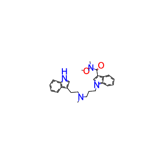 CON(C)C(=O)c1cn(CCCN(C)CCc2c[nH]c3ccccc23)c2ccccc12